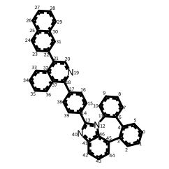 c1ccc2c(c1)-c1ccccc1-n1c(-c3ccc(-c4ncc(-c5ccc6ccccc6c5)c5ccccc45)cc3)nc3cccc-2c31